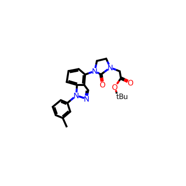 Cc1cccc(-n2ncc3c(N4CCN(CC(=O)OC(C)(C)C)C4=O)cccc32)c1